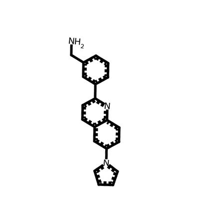 NCc1cccc(-c2ccc3cc(-n4cccc4)ccc3n2)c1